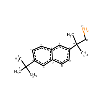 CC(C)(C)c1ccc2cc(C(C)(C)CP)ccc2c1